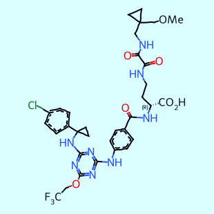 COCC1(CNC(=O)C(=O)NCC[C@@H](NC(=O)c2ccc(Nc3nc(NC4(c5ccc(Cl)cc5)CC4)nc(OCC(F)(F)F)n3)cc2)C(=O)O)CC1